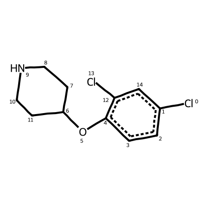 Clc1ccc(OC2CCNCC2)c(Cl)c1